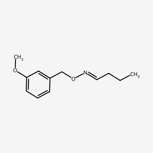 CCCC=NOCc1cccc(OC)c1